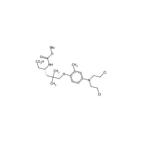 Cc1cc(N(CCCl)CCCl)ccc1OCC(C)(C)C[C@H](CC(=O)O)NC(=O)OC(C)(C)C